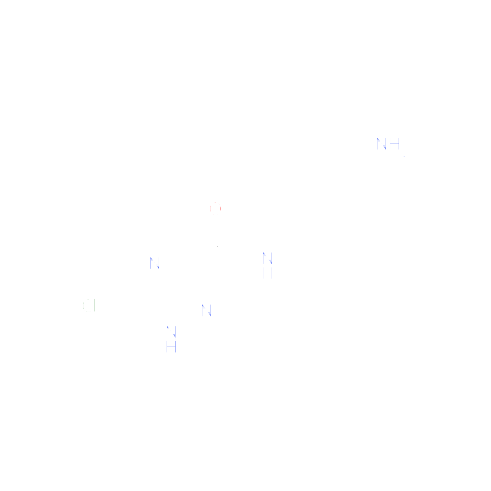 NC1CCC(NC(=O)c2n[nH]c(Cl)n2)CC1